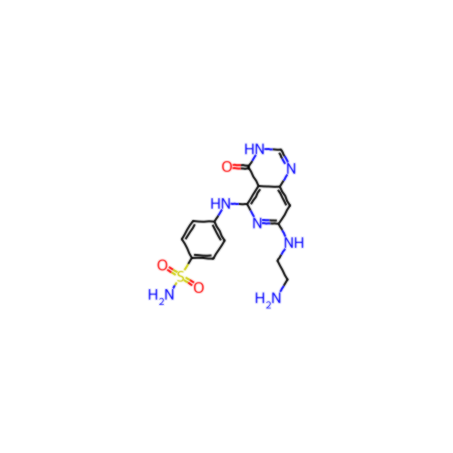 NCCNc1cc2nc[nH]c(=O)c2c(Nc2ccc(S(N)(=O)=O)cc2)n1